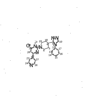 Cn1c(N2CCC(c3nncn3-c3ccccc3)CC2)nc(-c2ccncc2)cc1=O